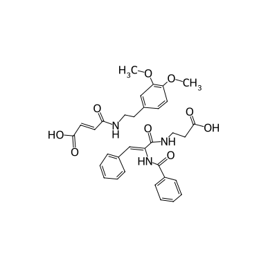 COc1ccc(CCNC(=O)C=CC(=O)O)cc1OC.O=C(O)CCNC(=O)C(=Cc1ccccc1)NC(=O)c1ccccc1